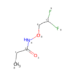 CCC(=O)NOCC(F)F